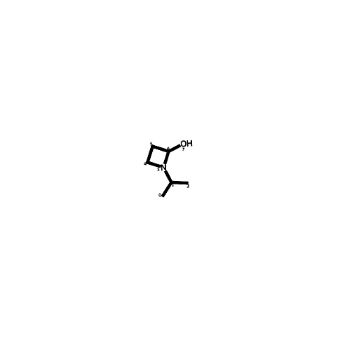 CC(C)N1CCC1O